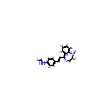 [CH2]CNc1ccc(/C=C/C2=NCCN(C)c3ccccc32)cc1